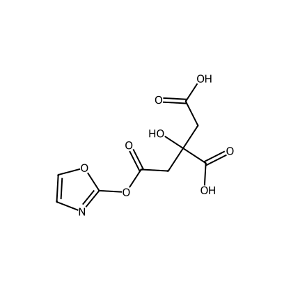 O=C(O)CC(O)(CC(=O)Oc1ncco1)C(=O)O